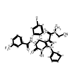 CCN1C(=O)[C@H](NC(=O)c2cccc(C(F)(F)F)c2)[C@H](c2ccc(F)cc2)c2c(C(=O)N(C)CC#N)nn(-c3ccccc3)c21